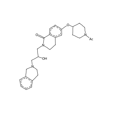 CC(=O)N1CCC(Oc2ccc3c(c2)CCN(CC(O)CN2CCc4ccccc4C2)C3=O)CC1